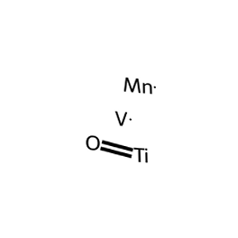 [Mn].[O]=[Ti].[V]